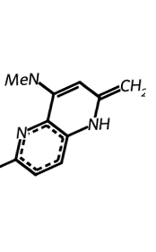 C=C1C=C(NC)c2nc(CC)ccc2N1